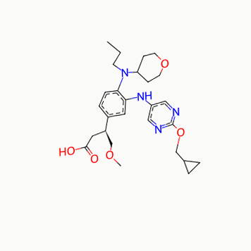 CCCN(c1ccc([C@@H](COC)CC(=O)O)cc1Nc1cnc(OCC2CC2)nc1)C1CCOCC1